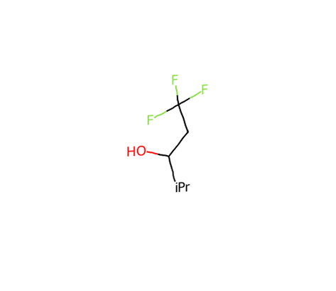 CC(C)C(O)CC(F)(F)F